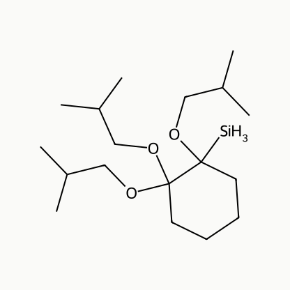 CC(C)COC1([SiH3])CCCCC1(OCC(C)C)OCC(C)C